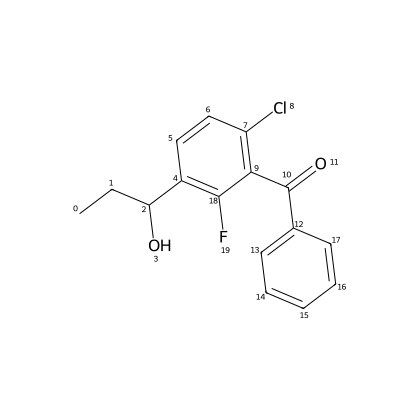 CCC(O)c1ccc(Cl)c(C(=O)c2ccccc2)c1F